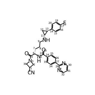 N#CC1CN(C(=O)[C@H](CCCN[C@@H]2C[C@H]2c2ccc(F)cc2)NC(=O)c2ccc(-c3ncccn3)cc2)C1